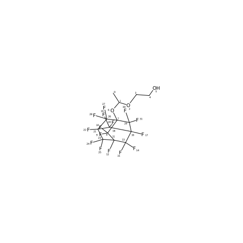 CC(OCCO)OC12C(F)(F)C3(F)C(F)(F)C(F)(C(F)(F)C(F)(C3(F)F)C1(F)F)C2(F)F